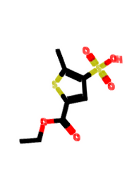 CCOC(=O)c1cc(S(=O)(=O)O)c(C)s1